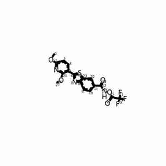 COc1ccc(-c2nc3ccc(C(=O)NOC(=O)C(F)(F)F)cc3s2)c(OC)n1